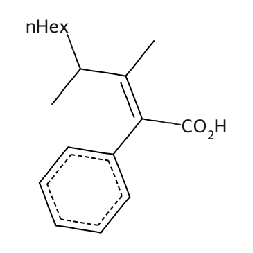 CCCCCCC(C)C(C)=C(C(=O)O)c1ccccc1